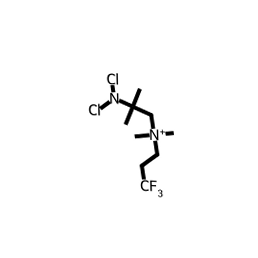 CC(C)(C[N+](C)(C)CCC(F)(F)F)N(Cl)Cl